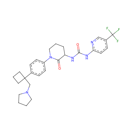 O=C(Nc1ccc(C(F)(F)F)cn1)NC1CCCN(c2ccc(C3(CN4CCCC4)CCC3)cc2)C1=O